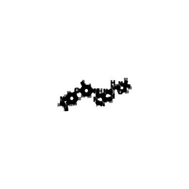 Cc1cc(Nc2ncnc3cnc(NC4=NC(C)(C)CO4)nc23)ccc1Oc1ccc2c(c1)ncn2C